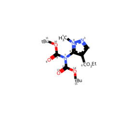 CCOC(=O)c1cnn(C)c1N(C(=O)OC(C)(C)C)C(=O)OC(C)(C)C